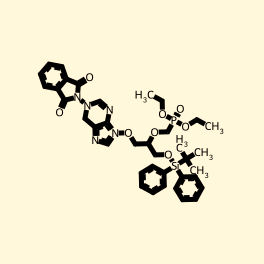 CCOP(=O)(COC(COn1cnc2c1N=CN(N1C(=O)c3ccccc3C1=O)C2)CO[Si](c1ccccc1)(c1ccccc1)C(C)(C)C)OCC